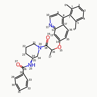 Cc1cccc(C)c1-c1ccnc2cc(OC(C)C(=O)N3CCC[C@H](NC(=O)c4ccccc4)C3)ccc12